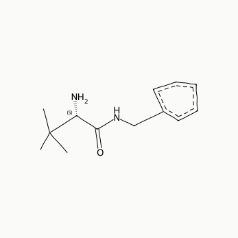 CC(C)(C)[C@H](N)C(=O)NCc1ccccc1